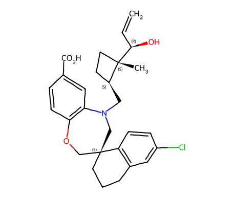 C=C[C@@H](O)[C@@]1(C)CC[C@@H]1CN1C[C@@]2(CCCc3cc(Cl)ccc32)COc2ccc(C(=O)O)cc21